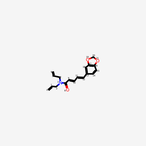 C=CCN(CC=C)C(=O)C=CC=Cc1ccc2c(c1)OCO2